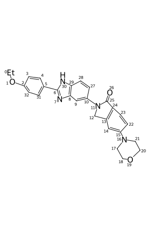 CCOc1ccc(-c2nc3cc(N4Cc5cc(N6CCOCC6)ccc5C4=O)ccc3[nH]2)cc1